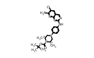 C[C@@H]1CN(c2ccc(Nc3ncc4cc(Cl)c(N)nc4n3)cc2)C[C@H](C)N1C(=O)OC(C)(C)C